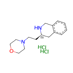 Cl.Cl.c1ccc2c(c1)CN[C@H](CCN1CCOCC1)C2